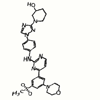 CS(=O)(=O)c1cc(-c2ccnc(Nc3ccc(-n4cnc(N5CCCC(O)C5)n4)cc3)n2)cc(N2CCOCC2)c1